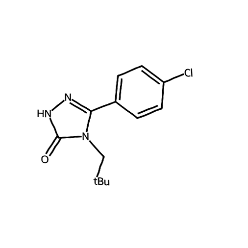 CC(C)(C)Cn1c(-c2ccc(Cl)cc2)n[nH]c1=O